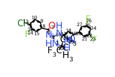 CC(C)(N/C(=N/C(=O)c1ccc(Cl)c(F)c1)Nc1cc(-c2cc(F)cc(F)c2)n[nH]1)C(F)(F)F